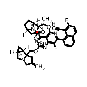 C#Cc1c(F)ccc2cccc(-c3nc4c5c(nc(OCC67CC(=C)CN6C[C@H]6C[C@H]67)nc5c3F)N3C[C@H]5CC[C@@H]([C@H]3[C@H](C)O4)N5C(=O)OC(C)(C)C)c12